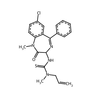 C=CCN(C)C(=S)NC1N=C(c2ccccc2)c2cc(Cl)ccc2N(C)C1=O